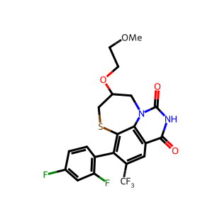 COCCOC1CSc2c(-c3ccc(F)cc3F)c(C(F)(F)F)cc3c(=O)[nH]c(=O)n(c23)C1